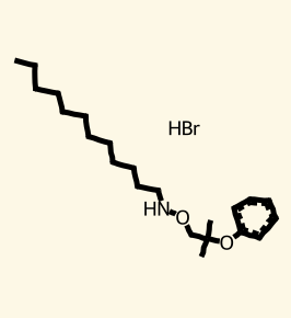 Br.CCCCCCCCCCCCNOCC(C)(C)Oc1ccccc1